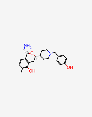 Cc1ccc2c(c1O)C[C@@H](C1CCN(Cc3ccc(O)cc3)CC1)O[C@H]2CN